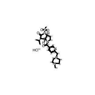 CC(C)[C@H]1C(=O)N(S(C)(=O)=O)[C@H]2CCN(C(=O)c3ccc(CN4CCN(C)CC4)nc3)[C@H]12.Cl